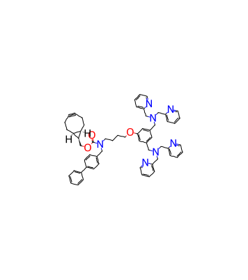 O=C(OC[C@@H]1[C@@H]2CCC#CCC[C@@H]21)N(CCCCOc1cc(CN(Cc2ccccn2)Cc2ccccn2)cc(CN(Cc2ccccn2)Cc2ccccn2)c1)Cc1ccc(-c2ccccc2)cc1